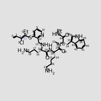 C=C/C(Cl)=C(\CC)Sc1cccnc1CN[C@@H](CCCN)C(=O)N[C@@H](CCCCN)C(=O)N(C)[C@@H](Cc1c[nH]c2ccccc12)C(=O)NCC